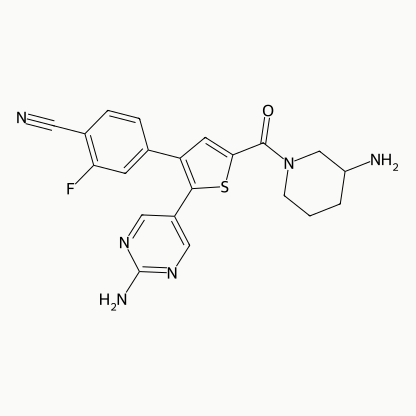 N#Cc1ccc(-c2cc(C(=O)N3CCCC(N)C3)sc2-c2cnc(N)nc2)cc1F